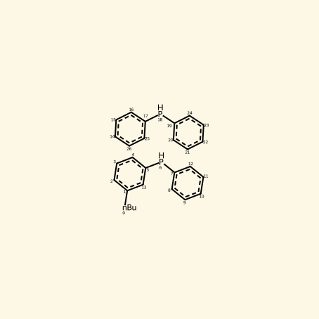 CCCCc1cccc(Pc2ccccc2)c1.c1ccc(Pc2ccccc2)cc1